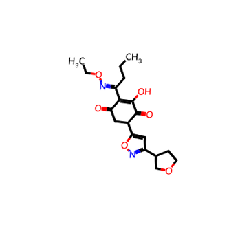 CCCC(=NOCC)C1=C(O)C(=O)C(c2cc(C3CCOC3)no2)CC1=O